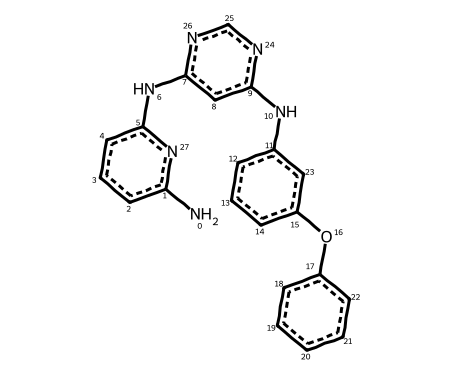 Nc1cccc(Nc2cc(Nc3cccc(Oc4ccccc4)c3)ncn2)n1